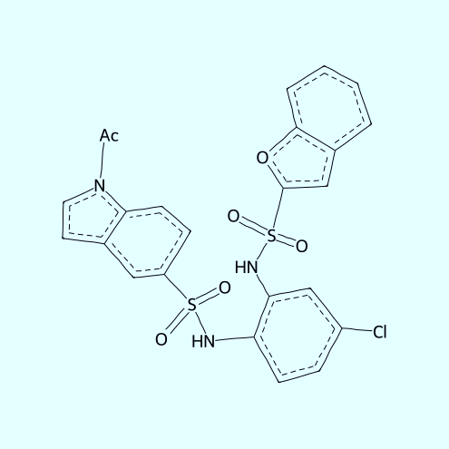 CC(=O)n1ccc2cc(S(=O)(=O)Nc3ccc(Cl)cc3NS(=O)(=O)c3cc4ccccc4o3)ccc21